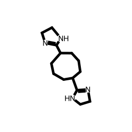 C1CC(C2=NCCN2)CCCC(C2=NCCN2)C1